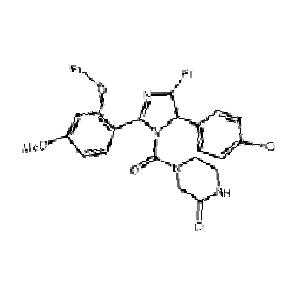 CCOc1cc(OC)ccc1C1=NC(CC)C(c2ccc(Cl)cc2)N1C(=O)N1CCNC(=O)C1